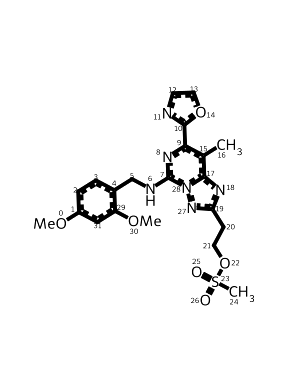 COc1ccc(CNc2nc(-c3ncco3)c(C)c3nc(CCOS(C)(=O)=O)nn23)c(OC)c1